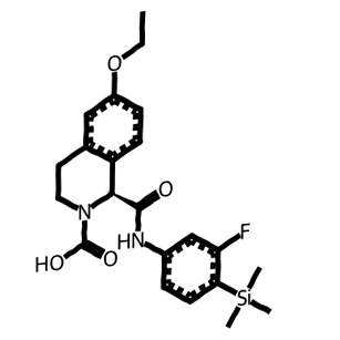 CCOc1ccc2c(c1)CCN(C(=O)O)[C@@H]2C(=O)Nc1ccc([Si](C)(C)C)c(F)c1